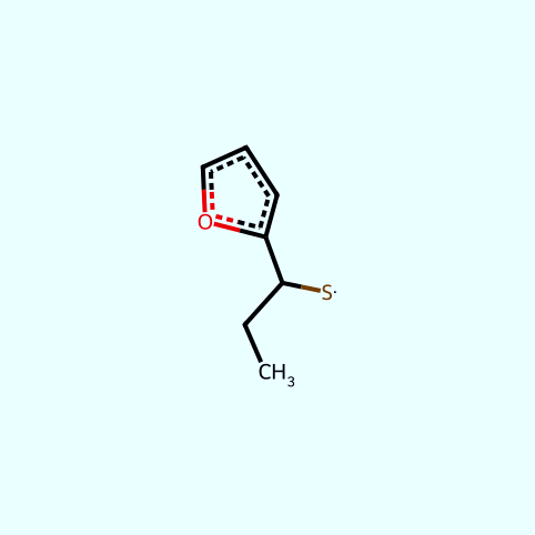 CCC([S])c1ccco1